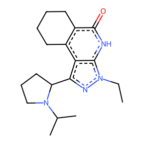 CCn1nc(C2CCCN2C(C)C)c2c3c(c(=O)[nH]c21)CCCC3